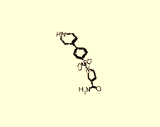 NC(=O)C1=CCN(S(=O)(=O)c2ccc(C3=CCNCC3)cc2)C1